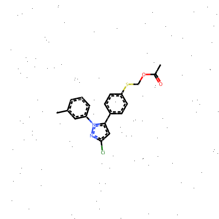 CC(=O)OCSc1ccc(-c2cc(Cl)nn2-c2cccc(C)c2)cc1